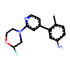 Cc1ccc(N)cc1-c1ccnc(N2CCOC(F)C2)c1